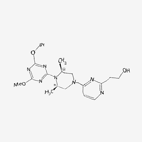 COc1nc(OC(C)C)nc(N2[C@H](C)CN(c3ccnc(CCO)n3)C[C@@H]2C)n1